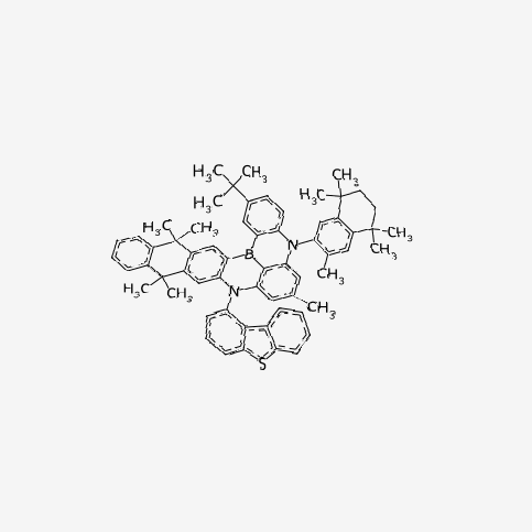 Cc1cc2c3c(c1)N(c1cccc4sc5ccccc5c14)c1cc4c(cc1B3c1cc(C(C)(C)C)ccc1N2c1cc2c(cc1C)C(C)(C)CCC2(C)C)C(C)(C)c1ccccc1C4(C)C